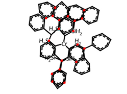 c1ccc(C([SiH2][CH]([SiH2]C(c2ccccc2)c2ccccc2)[Cr]([CH]([SiH2]C(c2ccccc2)c2ccccc2)[SiH2]C(c2ccccc2)c2ccccc2)[CH]([SiH2]C(c2ccccc2)c2ccccc2)[SiH2]C(c2ccccc2)c2ccccc2)c2ccccc2)cc1